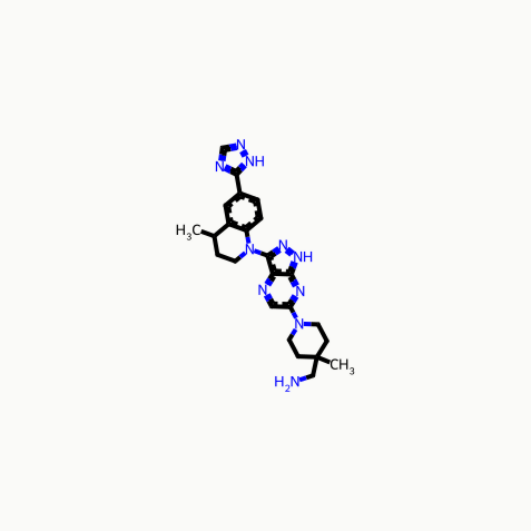 CC1CCN(c2n[nH]c3nc(N4CCC(C)(CN)CC4)cnc23)c2ccc(-c3ncn[nH]3)cc21